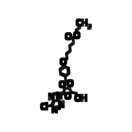 C=CCOC(=O)CCCCCOc1ccc(C2OC3C(CO)OC(n4cnc5c(Cl)ncnc54)C3O2)cc1